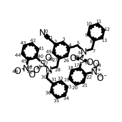 N#Cc1cc(CN(Cc2ccccc2)S(=O)(=O)c2ccccc2[N+](=O)[O-])cc(CN(Cc2ccccc2)S(=O)(=O)c2ccccc2[N+](=O)[O-])c1